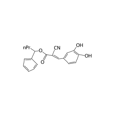 CCCC(OC(=O)/C(C#N)=C/c1ccc(O)c(O)c1)c1ccccc1